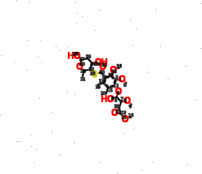 COc1c(OC(O)C(OC)C2OC2OC)c(C)c(C)c(C(=O)SC2C(O)CC(O)OC2C)c1OC